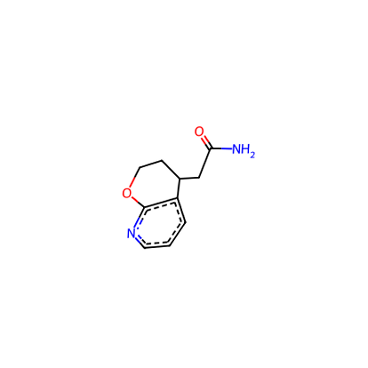 NC(=O)CC1CCOc2ncccc21